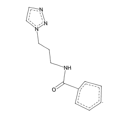 O=C(NCCCn1ccnn1)c1cc[c]cc1